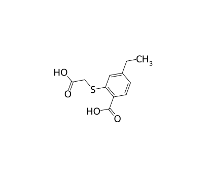 CCc1ccc(C(=O)O)c(SCC(=O)O)c1